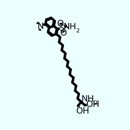 CN(C)c1cccc2c(S(N)(=O)=O)c(CCCCCCCCCCCCCCCCC(N)(CO)CO)ccc12